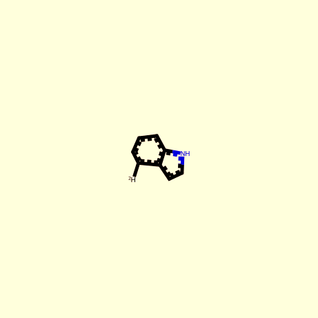 [2H]c1cccc2[nH]ccc12